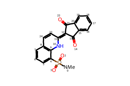 CNS(=O)(=O)c1cccc2c1NC(=C1C(=O)c3ccccc3C1=O)C=C2